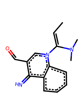 CC=C(N(C)C)n1cc(C=O)c(=N)c2ccccc21